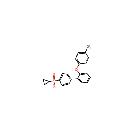 O=S(=O)(c1ccc(-c2ccccc2Oc2ccc(C(F)(F)F)cc2)cc1)C1CC1